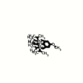 C=CC1[PH](C(C)C)(C(C)C)Cc2cc(OC)cc(c2C)C[PH]1(C(C)C)C(C)C